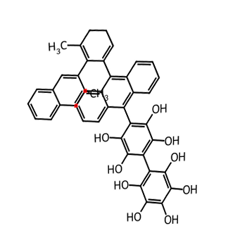 CC1=C(c2cc3ccccc3cc2C)C(c2c3ccccc3c(-c3c(O)c(O)c(-c4c(O)c(O)c(O)c(O)c4O)c(O)c3O)c3ccccc23)=CCC1